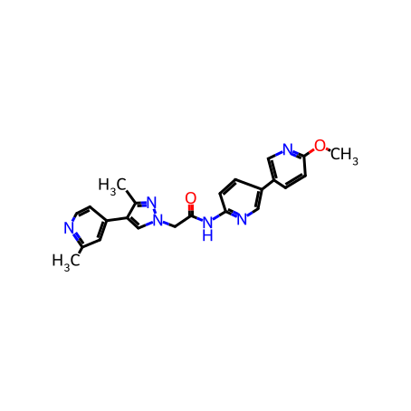 COc1ccc(-c2ccc(NC(=O)Cn3cc(-c4ccnc(C)c4)c(C)n3)nc2)cn1